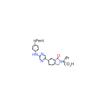 CCCCCc1ccc(Nc2cnc(-c3ccc4c(c3)C(=O)N([C@H](C(=O)O)C(C)C)C4)cn2)cc1